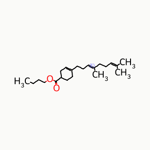 CCCCOC(=O)C1CC=C(CC/C=C(\C)CCC=C(C)C)CC1